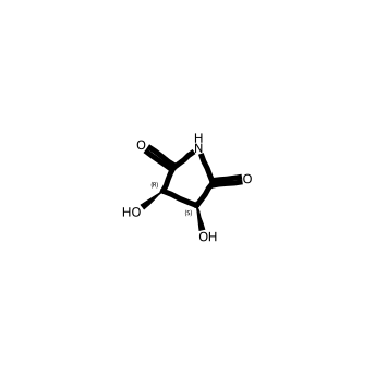 O=C1NC(=O)[C@H](O)[C@@H]1O